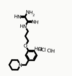 Cl.Cl.Cl.N=C(N)C(=N)NCCCOc1cccc(CN2CCCCC2)c1